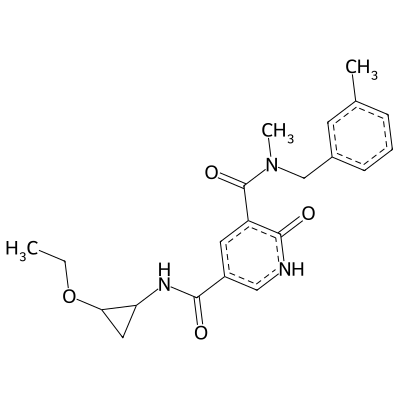 CCOC1CC1NC(=O)c1c[nH]c(=O)c(C(=O)N(C)Cc2cccc(C)c2)c1